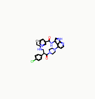 CCCNCC(C(=O)N1CCN(c2ccnc3[nH]cc(NC(=O)c4cccnc4)c23)CC1)c1ccc(Cl)cc1